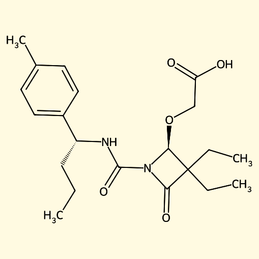 CCC[C@@H](NC(=O)N1C(=O)C(CC)(CC)[C@@H]1OCC(=O)O)c1ccc(C)cc1